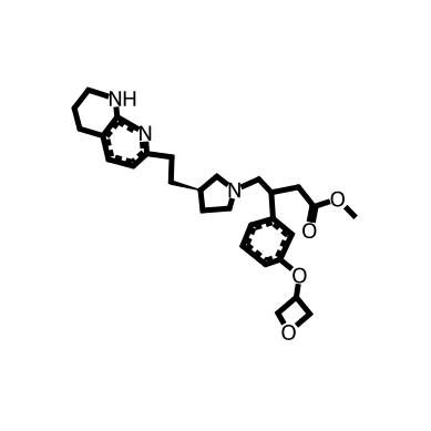 COC(=O)CC(CN1CC[C@@H](CCc2ccc3c(n2)NCCC3)C1)c1cccc(OC2COC2)c1